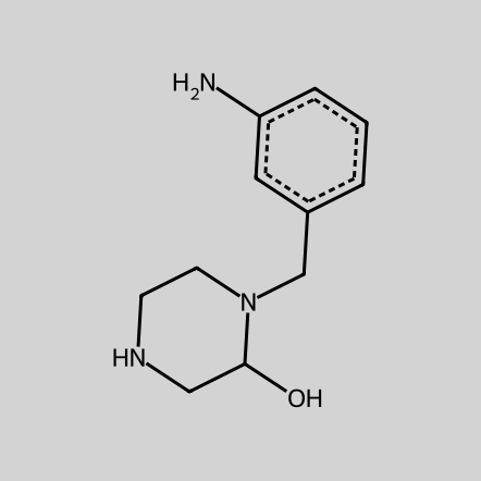 Nc1cccc(CN2CCNCC2O)c1